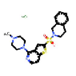 CN1CCN(c2nccc3sc(S(=O)(=O)N4CCc5ccccc5C4)cc23)CC1.Cl